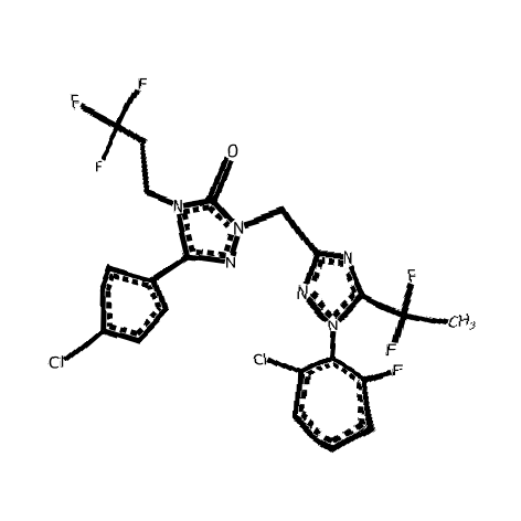 CC(F)(F)c1nc(Cn2nc(-c3ccc(Cl)cc3)n(CCC(F)(F)F)c2=O)nn1-c1c(F)cccc1Cl